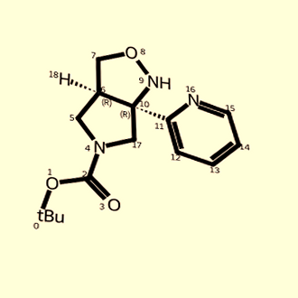 CC(C)(C)OC(=O)N1C[C@H]2CON[C@@]2(c2ccccn2)C1